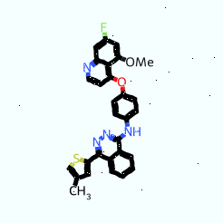 COc1cc(F)cc2nccc(Oc3ccc(Nc4nnc(-c5cc(C)cs5)c5ccccc45)cc3)c12